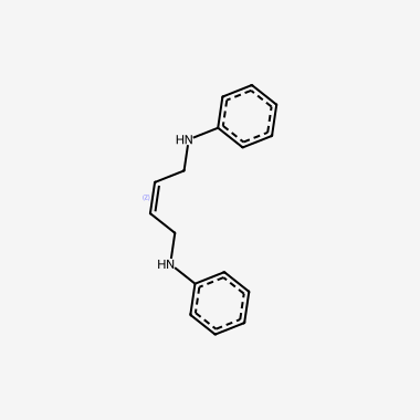 C(=C/CNc1ccccc1)/CNc1ccccc1